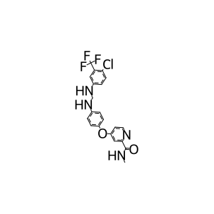 CNC(=O)c1cc(Oc2ccc(NCNc3ccc(Cl)c(C(F)(F)F)c3)cc2)ccn1